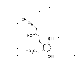 CCC#CC[C@H](O)C=C[C@@H]1[C@@H](CC(=O)O)[C@@H](O)C[C@H]1O